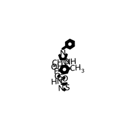 Cc1cc(S(=O)(=O)Nc2cscn2)c(F)cc1NC1CCN(Cc2ccccc2)C1.O=CO